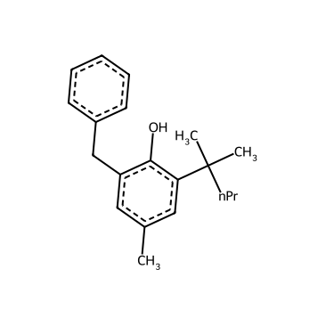 CCCC(C)(C)c1cc(C)cc(Cc2ccccc2)c1O